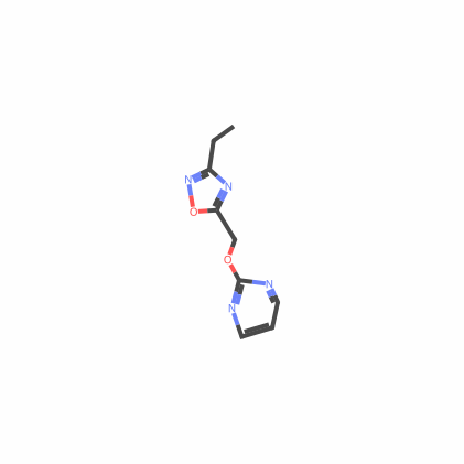 CCc1noc(COc2ncccn2)n1